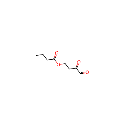 CCCC(=O)OCCC(=O)C=O